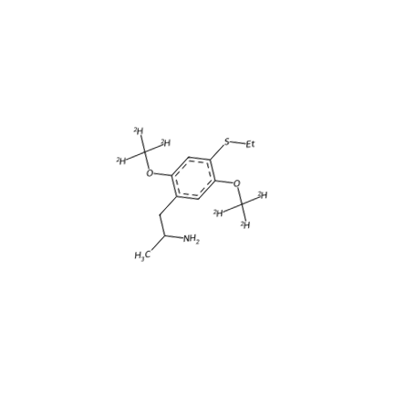 [2H]C([2H])([2H])Oc1cc(SCC)c(OC([2H])([2H])[2H])cc1CC(C)N